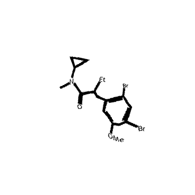 CCC(C(=O)N(C)C1CC1)c1cc(OC)c(Br)cc1Br